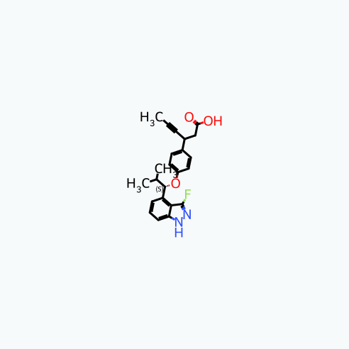 CC#CC(CC(=O)O)c1ccc(O[C@H](c2cccc3[nH]nc(F)c23)C(C)C)cc1